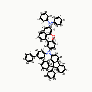 c1ccc(-c2ccc(N(c3ccc4c(c3)-c3cccc5cc(N(c6ccccc6)c6ccccc6)cc(c35)O4)c3ccc4c(c3)C(c3ccccc3)(c3ccccc3)c3ccccc3-4)cc2)cc1